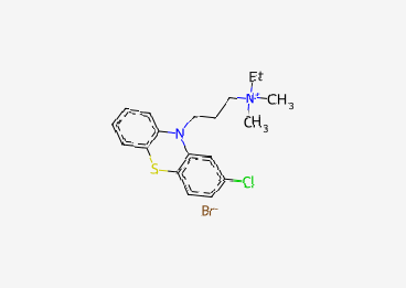 CC[N+](C)(C)CCCN1c2ccccc2Sc2ccc(Cl)cc21.[Br-]